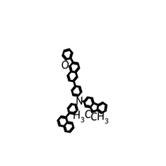 CC1(C)c2ccccc2-c2ccc(N(c3ccc(-c4ccc5c(ccc6c7ccccc7oc56)c4)cc3)c3ccc(-c4cccc5ccccc45)cc3)cc21